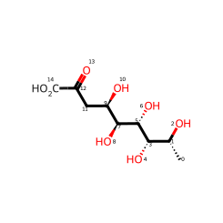 C[C@@H](O)[C@H](O)[C@@H](O)[C@@H](O)[C@H](O)CC(=O)C(=O)O